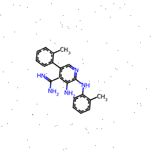 Cc1ccccc1Nc1ncc(-c2ccccc2C)c(C(=N)N)c1N